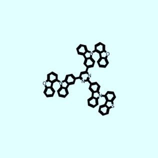 c1ccc2c(c1)oc1cccc(-n3c4ccccc4c4cc(-c5cc(-c6ccc7c(c6)c6ccccc6n7-c6cccc7oc8ccccc8c67)nc(-c6ccc7c(c6)c6ccccc6n7-c6cccc7sc8ccccc8c67)n5)ccc43)c12